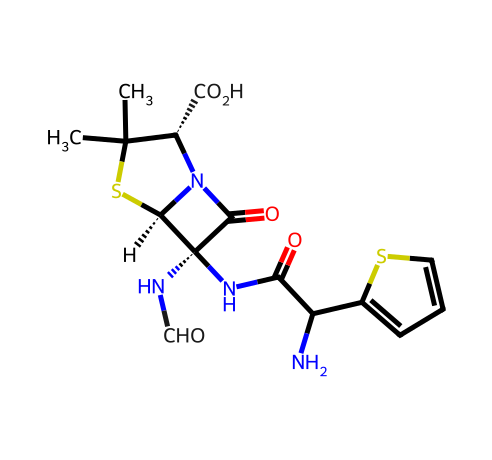 CC1(C)S[C@H]2N(C(=O)[C@@]2(NC=O)NC(=O)C(N)c2cccs2)[C@H]1C(=O)O